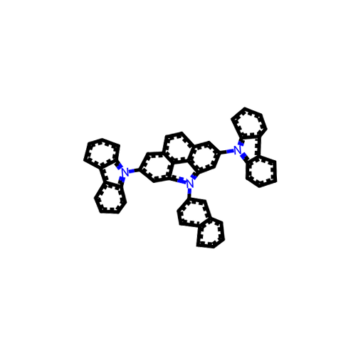 c1ccc2cc(-n3c4cc(-n5c6ccccc6c6ccccc65)cc5ccc6cc(-n7c8ccccc8c8ccccc87)cc3c6c54)ccc2c1